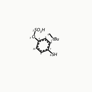 CC(C)(C)C.O=S(=O)(O)Oc1ccc(S)cc1